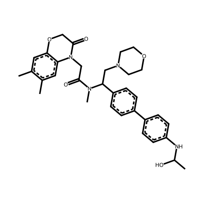 Cc1cc2c(cc1C)N(CC(=O)N(C)C(CN1CCOCC1)c1ccc(-c3ccc(NC(C)O)cc3)cc1)C(=O)CO2